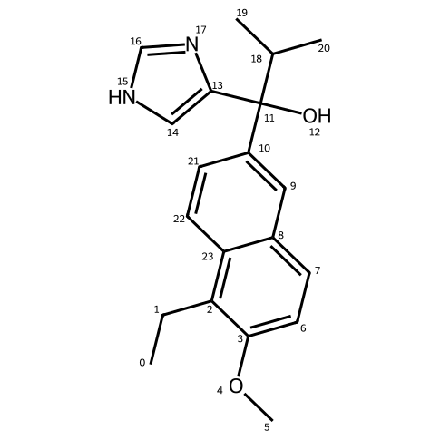 CCc1c(OC)ccc2cc(C(O)(c3c[nH]cn3)C(C)C)ccc12